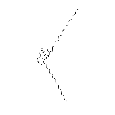 CCCCCCCC/C=C/CCCCCCCC(=O)OP(=O)(O)OC(CN)C(=O)CCCCCCC/C=C/CCCCCCCC